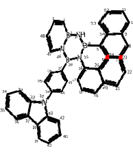 C1=CB2NB(c3cccc4ccccc34)N(c3cccc4ccccc34)B(c3ccc(-n4c5ccccc5c5ccccc54)cc3)N2C=C1